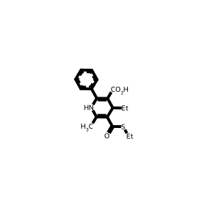 CCSC(=O)C1=C(C)NC(c2ccccc2)=C(C(=O)O)C1CC